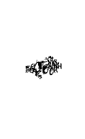 C[C@@H](CO)N1C(c2ccc(OC(F)(F)F)cc2)=CC=NC1c1cc[nH]n1